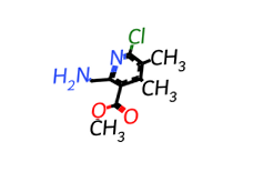 COC(=O)c1c(CN)nc(Cl)c(C)c1C